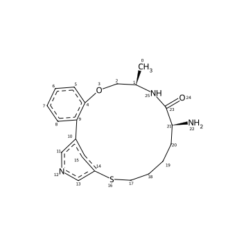 C[C@@H]1COc2ccccc2-c2cncc(c2)SCCCC[C@H](N)C(=O)N1